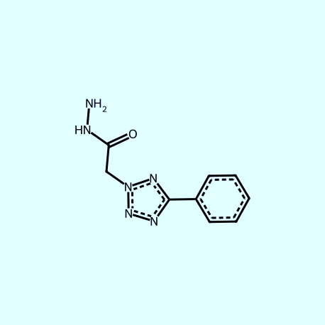 NNC(=O)Cn1nnc(-c2ccccc2)n1